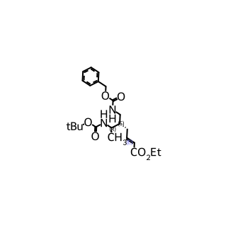 CCOC(=O)/C=C/C[C@@H](CNC(=O)OCc1ccccc1)[C@@H](C)NC(=O)OC(C)(C)C